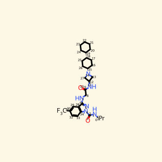 CC(C)NC(=O)n1nc(NCC(=O)NC2CN([C@H]3CC[C@@H](C4CCCCC4)CC3)C2)c2cc(C(F)(F)F)ccc21